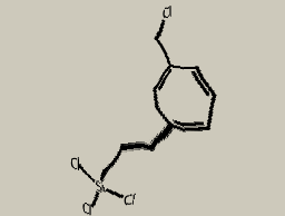 ClCc1cccc(CC[Si](Cl)(Cl)Cl)c1